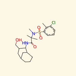 Cc1c(Cl)cccc1S(=O)(=O)N(C)C(C)(C)C(=O)NC1C(CO)CC2CCCC1C2